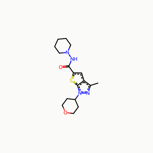 Cc1nn(C2CCOCC2)c2sc(C(=O)NN3CCCCC3)cc12